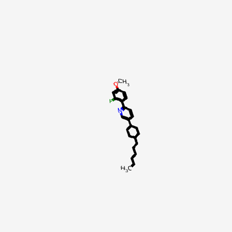 CCCCCCC1CCC(c2ccc(-c3ccc(OC)cc3F)nc2)CC1